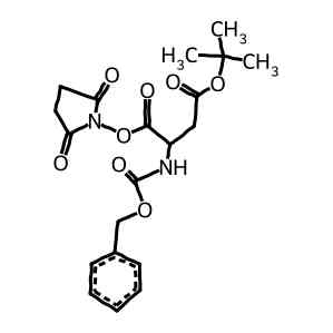 CC(C)(C)OC(=O)CC(NC(=O)OCc1ccccc1)C(=O)ON1C(=O)CCC1=O